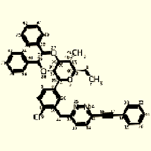 CC[C@H]1O[C@@H](c2ccc(Cl)c(Cc3ccc(C#Cc4ccccc4)nn3)c2)[C@H](OCc2ccccc2)[C@@H](OCc2ccccc2)[C@@H]1C